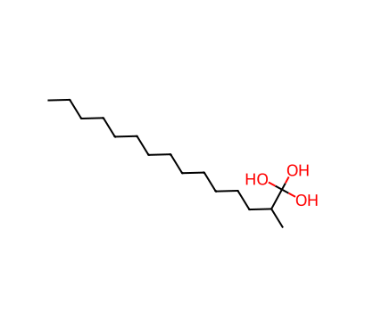 CCCCCCCCCCCCCC(C)C(O)(O)O